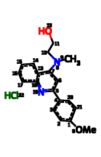 COc1ccc(-c2cc(N(C)CCO)c3ccccc3n2)cc1.Cl